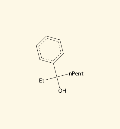 CCCCCC(O)(CC)c1ccccc1